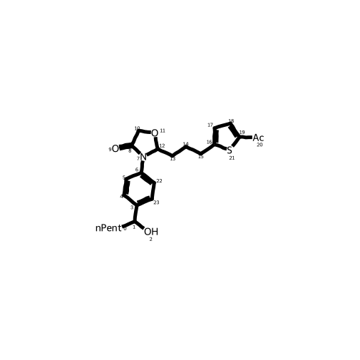 CCCCCC(O)c1ccc(N2C(=O)COC2CCCc2ccc(C(C)=O)s2)cc1